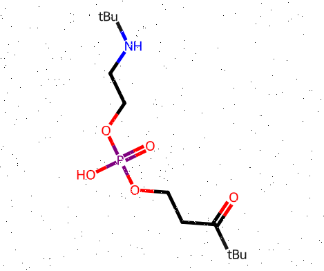 CC(C)(C)NCCOP(=O)(O)OCCC(=O)C(C)(C)C